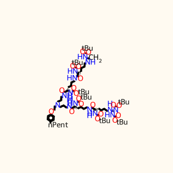 C=C(NCCCC[C@H](NC(=O)OC(C)(C)C)C(=O)NCCCC[C@H](NC(=O)OC(C)(C)C)C(=O)NCCCN(CCCNC(=O)[C@H](CCCCNC(=O)[C@H](CCCCN/C(=N\C(=O)OC(C)(C)C)NC(=O)OC(C)(C)C)NC(=O)OC(C)(C)C)NC(=O)OC(C)(C)C)CCOc1ccc(CCCCC)cc1)NC(=O)OC(C)(C)C